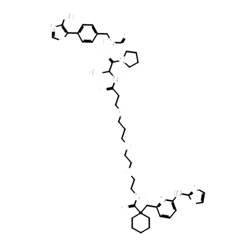 Cc1ncsc1-c1ccc(CNC(=O)[C@@H]2CCCN2C(=O)C(NC(=O)CCOCCCOCCOCCNC(=O)C2(Cc3cccc(Nc4nccs4)n3)CCCCC2)C(C)(C)C)cc1